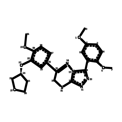 COc1ccc(OC)c(-c2nnc3n2N=C(c2ccc(OC)c(O[C@@H]4CCOC4)c2)CS3)c1